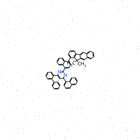 CC1(C)c2cc3ccccc3cc2-c2cccc(-c3ccc(-c4nc(-c5ccccc5-c5ccccc5)cc(-c5cccc6ccccc56)n4)c4ccccc34)c21